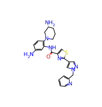 Nc1ccc(N2CCC[C@@H](N)C2)c(NC(=O)c2csc(-c3cnn(Cc4ccccn4)c3)n2)c1